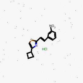 Cl.O=[N+]([O-])c1cccc(C=Cc2nc(C3CCC3)cs2)c1